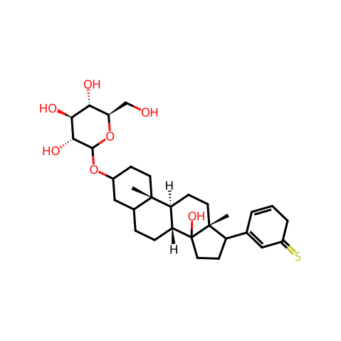 C[C@]12CCC(OC3O[C@H](CO)[C@@H](O)[C@H](O)[C@H]3O)CC1CC[C@@H]1[C@@H]2CC[C@]2(C)C(C3=CC(=S)CC=C3)CCC12O